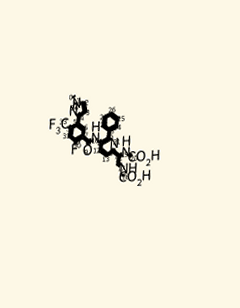 Cn1ccc(-c2cc(C(=O)Nc3ccc(C(CNC(=O)O)NC(=O)O)nc3-c3ccccc3)c(F)cc2C(F)(F)F)n1